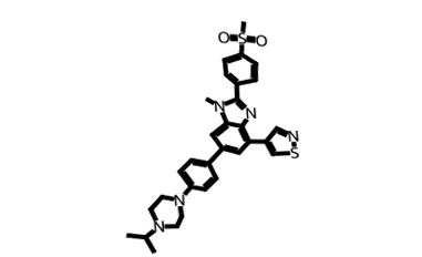 CC(C)N1CCN(c2ccc(-c3cc(-c4cnsc4)c4nc(-c5ccc(S(C)(=O)=O)cc5)n(C)c4c3)cc2)CC1